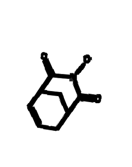 [O]N1C(=O)C2C=CCC(C2)C1=O